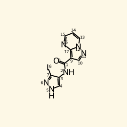 O=C(Nc1c[nH]nc1I)c1cnn2cccnc12